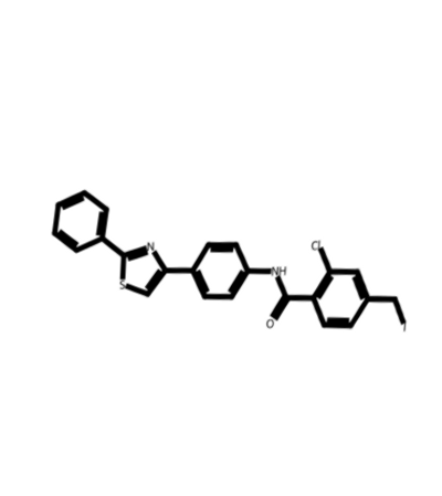 O=C(Nc1ccc(-c2csc(-c3ccccc3)n2)cc1)c1ccc(CI)cc1Cl